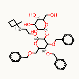 CC1(BCCO[C@H]2OC(COCc3ccccc3)[C@@H](OCc3ccccc3)C(OCc3ccccc3)C2O[C@H]2OC(CO)[C@@H](O)C(O)C2O)CCC1